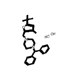 Cc1cc(C(C)(C)C)oc1CN1CCN(C(c2ccccc2)c2ccccc2)CC1.Cl.Cl